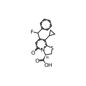 O=C(O)[C@@H]1CSc2c(C3CC3)c(C(F)c3ccccc3)cc(=O)n21